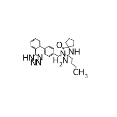 CCCCC1(N)NC2(CCCC2)C(=O)N1Cc1ccc(-c2ccccc2-c2nnn[nH]2)cc1